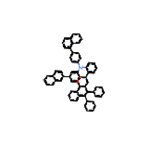 c1ccc(-c2c(-c3ccccc3)c3cc(-c4ccccc4N(c4ccc(-c5cccc6ccccc56)cc4)c4cccc(-c5ccc6ccccc6c5)c4)ccc3c3ccccc23)cc1